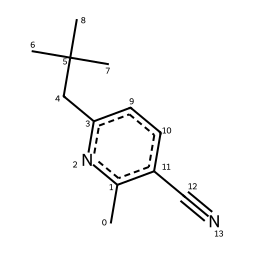 Cc1nc(CC(C)(C)C)ccc1C#N